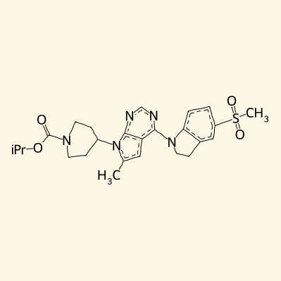 Cc1cc2c(N3CCc4cc(S(C)(=O)=O)ccc43)ncnc2n1C1CCN(C(=O)OC(C)C)CC1